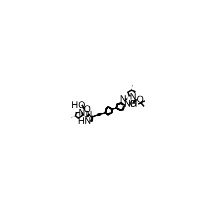 C[C@H]1C[C@@H](c2nc(C#Cc3ccc(-c4ccc5[nH]c([C@@H]6C[C@H](C)CN6C(=O)OC(C)(C)C)nc5c4)cc3)c[nH]2)N(C(=O)O)C1